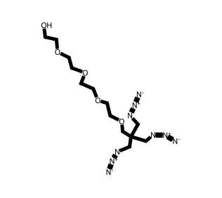 [N-]=[N+]=NCC(CN=[N+]=[N-])(CN=[N+]=[N-])COCCOCCOCCOCCO